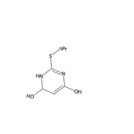 CCCSC1=NC(O)=CC(O)N1